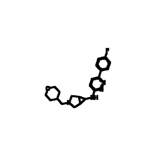 Fc1ccc(-c2ccc(NC3C4CN(CC5CCOCC5)CC43)nn2)cc1